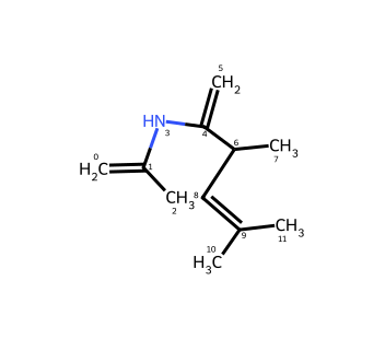 C=C(C)NC(=C)C(C)C=C(C)C